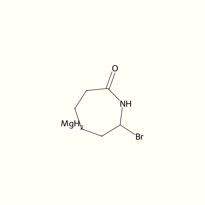 O=C1CCCCC(Br)N1.[MgH2]